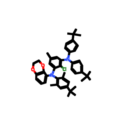 Cc1cc(N(c2ccc(C(C)(C)C)cc2)c2ccc(C(C)(C)C)cc2)c(Cl)c(N(c2cccc3c2OCCO3)c2c(C)cc(C(C)(C)C)cc2C)c1